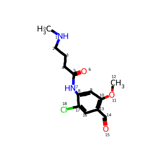 CNCCCC(=O)Nc1cc(OC)c(C=O)cc1Cl